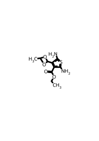 CCOC(=O)c1c(N)sc(N)c1C1OC(C)O1